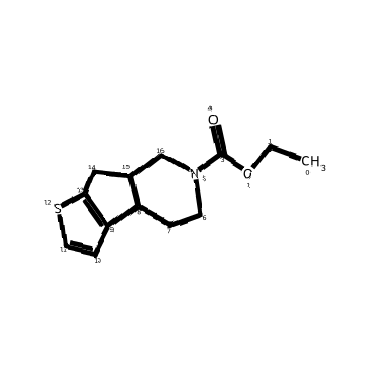 CCOC(=O)N1CCC2c3ccsc3CC2C1